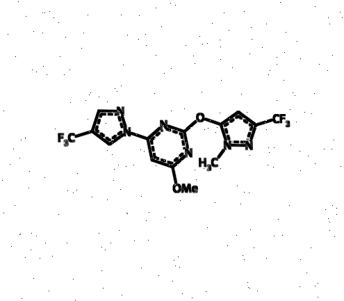 COc1cc(-n2cc(C(F)(F)F)cn2)nc(Oc2cc(C(F)(F)F)nn2C)n1